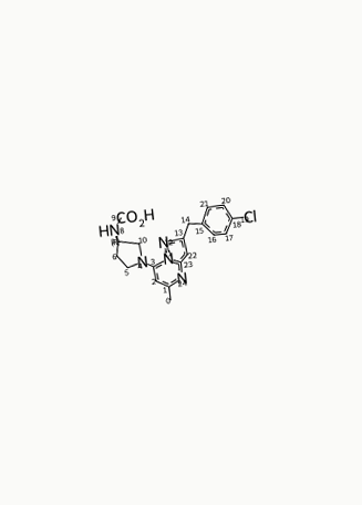 Cc1cc(N2CC[C@@H](NC(=O)O)C2)n2nc(Cc3ccc(Cl)cc3)cc2n1